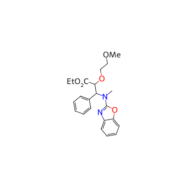 CCOC(=O)C(OCCOC)C(c1ccccc1)N(C)c1nc2ccccc2o1